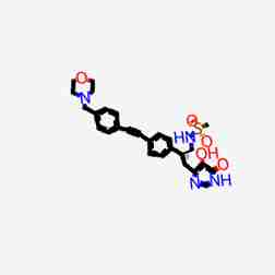 CS(=O)(=O)NC[C@@H](Cc1nc[nH]c(=O)c1O)c1ccc(C#Cc2ccc(CN3CCOCC3)cc2)cc1